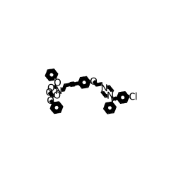 O=C(Oc1ccccc1)ON(CCC#Cc1ccc(OCCN2CCN([C@H](c3ccccc3)c3ccc(Cl)cc3)CC2)cc1)C(=O)Oc1ccccc1